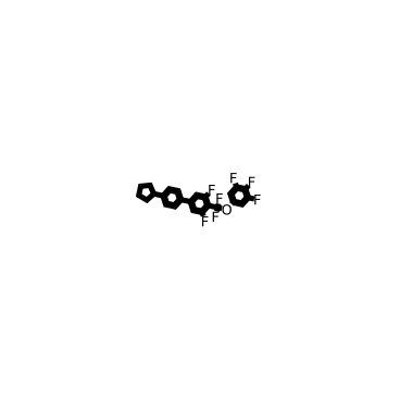 Fc1cc(OC(F)(F)c2c(F)cc(-c3ccc(C4CCCC4)cc3)cc2F)cc(F)c1F